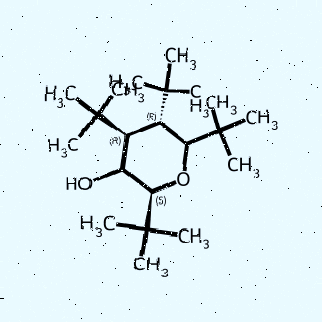 CC(C)(C)C1O[C@@H](C(C)(C)C)C(O)[C@@H](C(C)(C)C)[C@@H]1C(C)(C)C